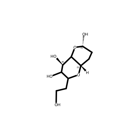 OCCC1O[C@H]2CC[C@@H](O)OC2[C@H](O)C1O